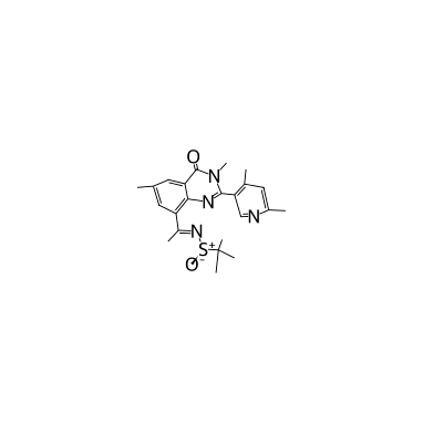 CC(=N[S@+]([O-])C(C)(C)C)c1cc(C)cc2c(=O)n(C)c(-c3cnc(C)cc3C)nc12